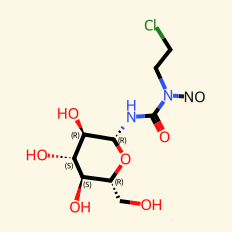 O=NN(CCCl)C(=O)N[C@@H]1O[C@H](CO)[C@@H](O)[C@H](O)[C@H]1O